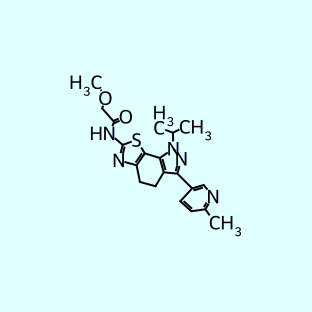 COCC(=O)Nc1nc2c(s1)-c1c(c(-c3ccc(C)nc3)nn1C(C)C)CC2